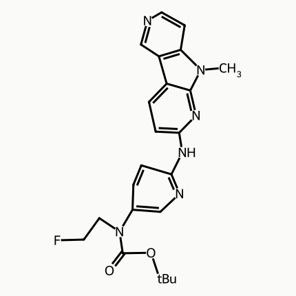 Cn1c2ccncc2c2ccc(Nc3ccc(N(CCF)C(=O)OC(C)(C)C)cn3)nc21